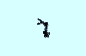 CCCCCC(CCCCC)CCCOC(=O)C(C)(C)CCCCCCOC(=O)[C@@H]1C[C@@H](O)CN1